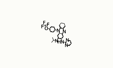 CC(C)/N=c1\cc2n(-c3ccc(OC(F)(F)F)cc3)c3c(nc-2cc1Nc1ncccn1)=CCCC=3